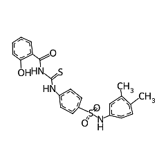 Cc1ccc(NS(=O)(=O)c2ccc(NC(=S)NC(=O)c3ccccc3O)cc2)cc1C